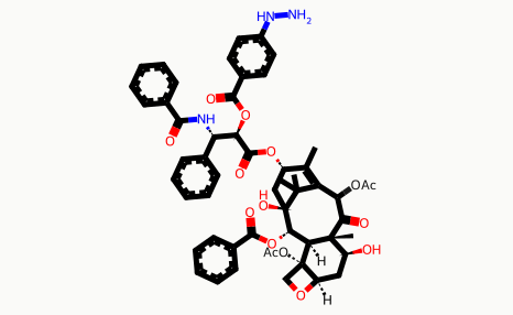 CC(=O)OC1C(=O)[C@@]2(C)[C@H]([C@H](OC(=O)c3ccccc3)[C@]3(O)C[C@H](OC(=O)[C@H](OC(=O)c4ccc(NN)cc4)[C@@H](NC(=O)c4ccccc4)c4ccccc4)C(C)=C1C3(C)C)[C@]1(OC(C)=O)CO[C@@H]1C[C@@H]2O